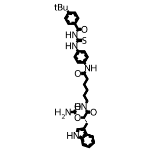 CC(C)(C)c1ccc(C(=O)NC(=S)Nc2ccc(NC(=O)CCCCCNC(=O)[C@H](Cc3c[nH]c4ccccc34)OC(N)=O)cc2)cc1